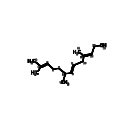 CC(C)=CCCC(C)C=CC/C(C)=C/CO